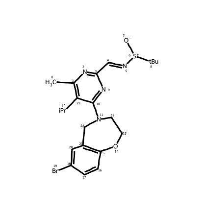 Cc1nc(C=N[S+]([O-])C(C)(C)C)nc(N2CCOc3ccc(Br)cc3C2)c1C(C)C